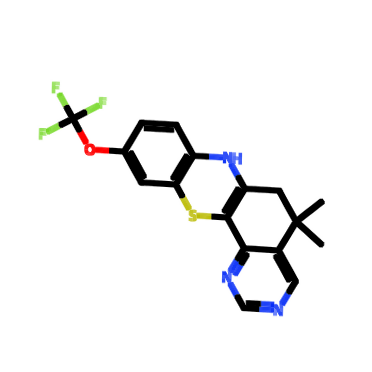 CC1(C)CC2=C(Sc3cc(OC(F)(F)F)ccc3N2)c2ncncc21